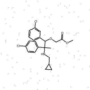 COC(=O)COC(c1cccc(Cl)c1)C(C)(NCC1CC1)c1ccc(Cl)cc1